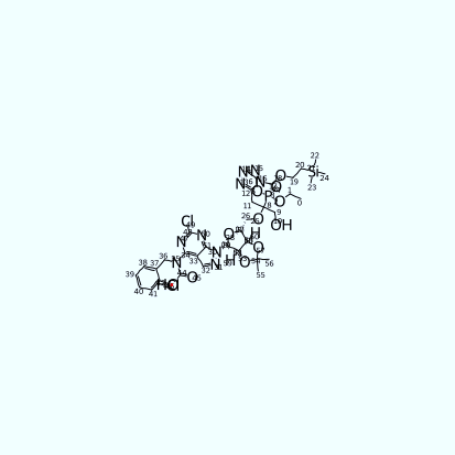 CCOP(=O)(OCC)C(CO)(Cc1nnnn1COCC[Si](C)(C)C)OC[C@H]1O[C@@H](n2ncc3c(N(Cc4ccccc4Cl)C(=O)O)nc(Cl)nc32)[C@@H]2OC(C)(C)O[C@@H]21